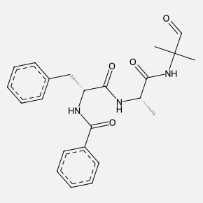 C[C@H](NC(=O)[C@@H](Cc1ccccc1)NC(=O)c1ccccc1)C(=O)NC(C)(C)C=O